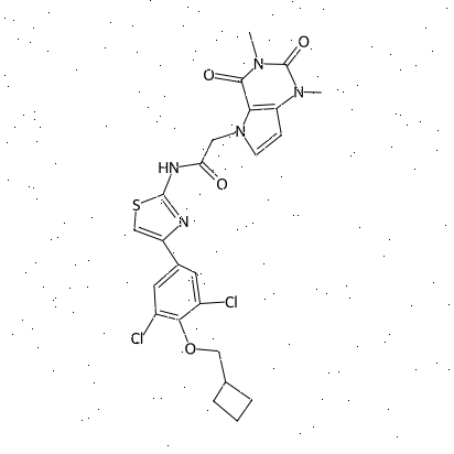 Cn1c(=O)c2c(ccn2CC(=O)Nc2nc(-c3cc(Cl)c(OCC4CCC4)c(Cl)c3)cs2)n(C)c1=O